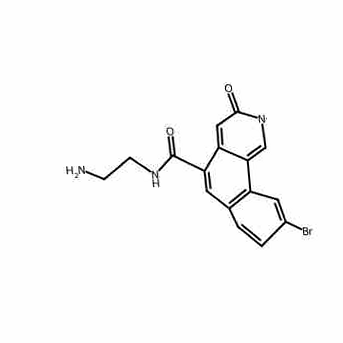 NCCNC(=O)c1cc2ccc(Br)cc2c2c1=CC(=O)[N]C=2